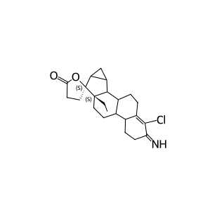 CC[C@]12CCC3C4CCC(=N)C(Cl)=C4CCC3C1C1CC1[C@@]21CCC(=O)O1